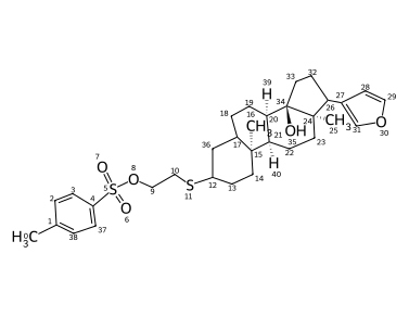 Cc1ccc(S(=O)(=O)OCCSC2CC[C@@]3(C)C(CC[C@@H]4[C@H]3CC[C@]3(C)C(c5ccoc5)CC[C@@]43O)C2)cc1